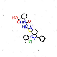 O=C(Nc1nc2c(s1)-c1c(c(-c3ccccc3)nn1-c1ccccc1Cl)CC2)N[C@@H]1CCCC[C@H]1C(=O)O